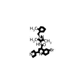 Cc1ccccc1Cn1nc(C)c(NC(=O)c2cc(-c3ccncc3)nc3ccc(Br)cc23)c1C